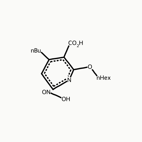 CCCCCCOc1nccc(CCCC)c1C(=O)O.O=NO